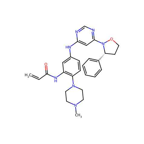 C=CC(=O)Nc1cc(Nc2cc(N3OCC[C@@H]3c3ccccc3)ncn2)ccc1N1CCN(C)CC1